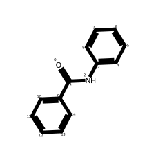 O=C(Nc1cc[c]cc1)c1cc[c]cc1